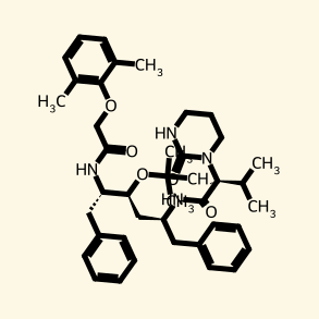 Cc1cccc(C)c1OCC(=O)N[C@@H](Cc1ccccc1)[C@H](C[C@H](Cc1ccccc1)NC(=O)[C@H](C(C)C)N1CCCNC1=O)OC(C)(C)C